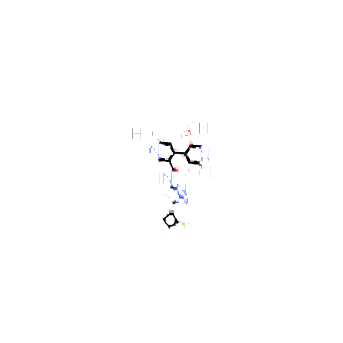 COc1cnc(Cl)cc1-c1cc(C)ncc1C(=O)Nc1nnc([C@H]2CC[C@H]2F)s1